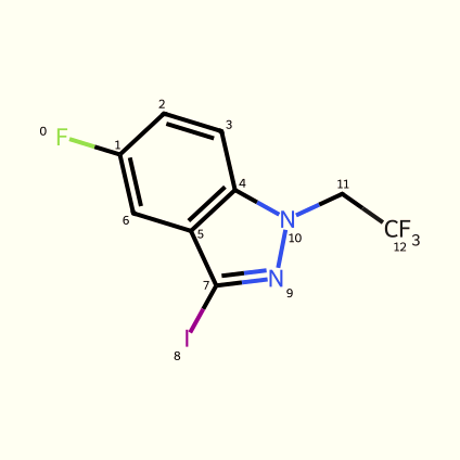 Fc1ccc2c(c1)c(I)nn2CC(F)(F)F